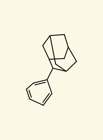 [c]1ccc(C2C3CC4CC(C3)CC2C4)cc1